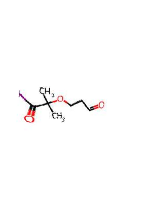 CC(C)(OCCC=O)C(=O)I